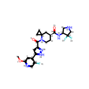 COc1cc(-c2cc(C(=O)N3CC[C@H](C(=O)NC4CNCC4(F)F)CC34CC4)n[nH]2)c(F)cn1